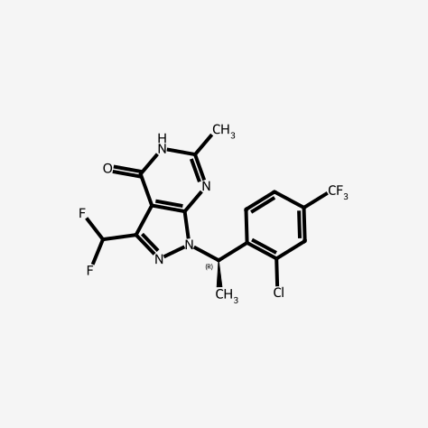 Cc1nc2c(c(C(F)F)nn2[C@H](C)c2ccc(C(F)(F)F)cc2Cl)c(=O)[nH]1